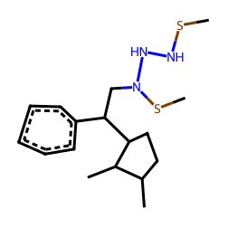 CSNNN(CC(c1ccccc1)C1CCC(C)C1C)SC